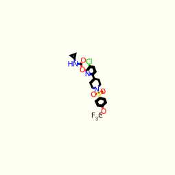 O=C(NC1CC1)Oc1nc(C2=CCN(S(=O)(=O)c3ccc(OC(F)(F)F)cc3)CC2)ccc1Cl